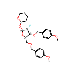 COc1ccc(COC[C@H]2O[C@H](OC3CCCCO3)[C@H](F)[C@@H]2OCc2ccc(OC)cc2)cc1